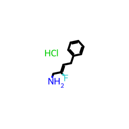 Cl.NC/C(F)=C/Cc1ccccc1